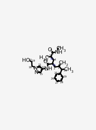 C=C(/C=C(\C=C(/C)C(=O)NC)C(=O)Nc1cnn(CCO)c1)C(C)c1ccccc1